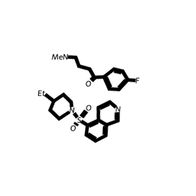 CCC1CCN(S(=O)(=O)c2cccc3cnccc23)CC1.CNCCCC(=O)c1ccc(F)cc1